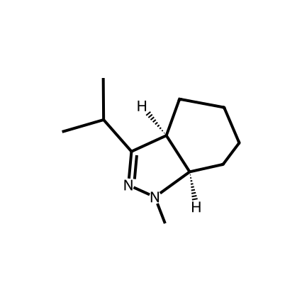 CC(C)C1=NN(C)[C@@H]2CCCC[C@H]12